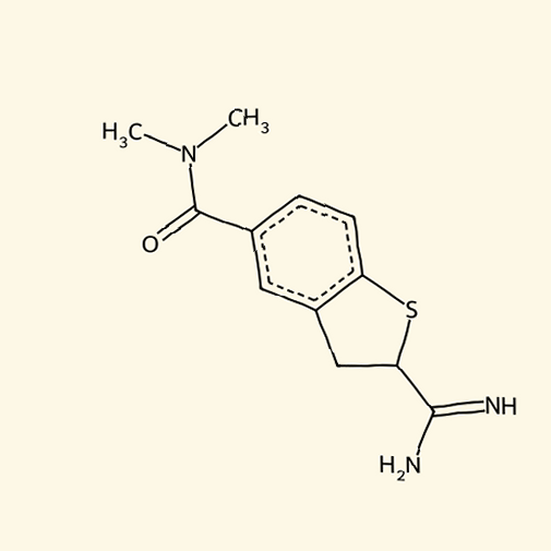 CN(C)C(=O)c1ccc2c(c1)CC(C(=N)N)S2